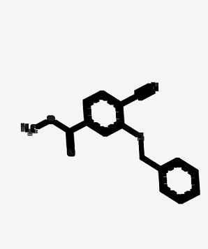 COC(=O)c1ccc(C#N)c(SCc2ccccc2)c1